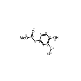 CCOc1cc(CC(=O)OC)ccc1O